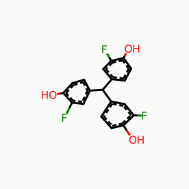 Oc1ccc(C(c2ccc(O)c(F)c2)c2ccc(O)c(F)c2)cc1F